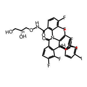 O=C(NOC[C@H](O)CO)c1ccc(F)c(F)c1N(C(=O)c1ccc(F)c(F)c1Nc1ccc(I)cc1F)c1ccc(I)cc1F